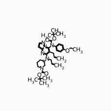 C=CCc1c(N(CC=C)[C@H]2CCCN(C(=O)OC(C)(C)C)C2)nc2ccnn2c1N(C(=O)OC(C)(C)C)c1ccc(OCC)cc1